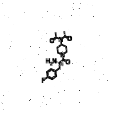 CC(=O)N(C(C)=O)C1CCN(C(=O)[C@@H](N)Cc2ccc(F)cc2)CC1